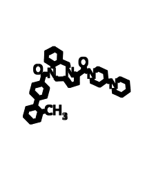 Cc1ccccc1-c1ccc(C(=O)N2Cc3ccc(C(=O)N4CCC(N5CCCCC5)CC4)n3Cc3ccccc32)cc1